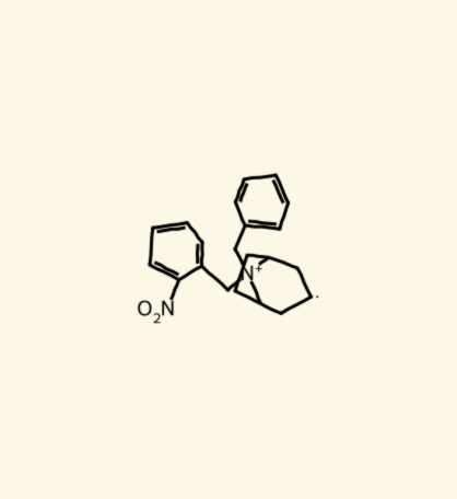 O=[N+]([O-])c1ccccc1C[N+]1(Cc2ccccc2)C2C[CH]CC1CC2